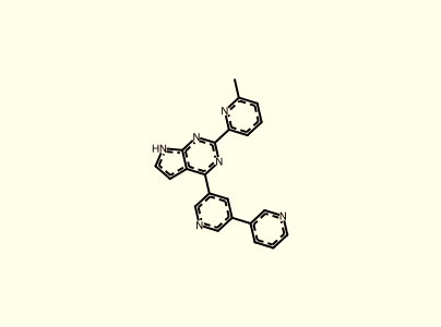 Cc1cccc(-c2nc(-c3cncc(-c4cccnc4)c3)c3cc[nH]c3n2)n1